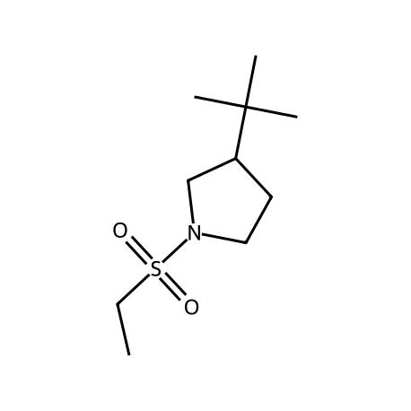 CCS(=O)(=O)N1CCC(C(C)(C)C)C1